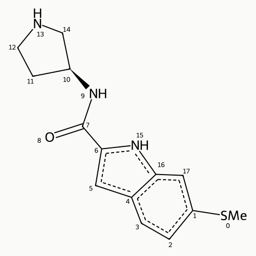 CSc1ccc2cc(C(=O)N[C@H]3CCNC3)[nH]c2c1